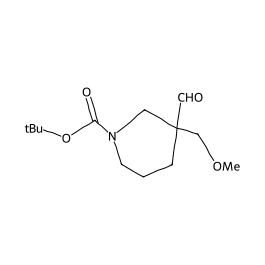 COCC1(C=O)CCCN(C(=O)OC(C)(C)C)C1